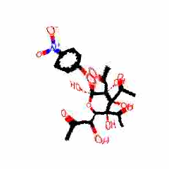 CC(=O)C(O)[C@H]1O[C@@](O)(Oc2ccc([N+](=O)[O-])cc2)[C@@](O)(C(C)=O)[C@](O)(C(C)=O)[C@]1(O)C(C)=O